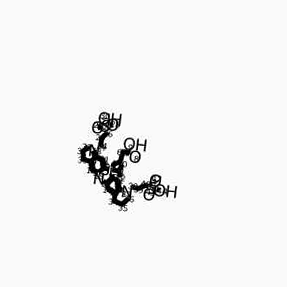 CC(C)[Si]1(CCCC(=O)O)c2cc3c(cc2N=c2cc4c(cc21)=[N+](CCCS(=O)(=O)O)CCC4)CCCN3CCCS(=O)(=O)O